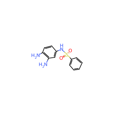 Nc1ccc(NS(=O)(=O)c2ccccc2)cc1N